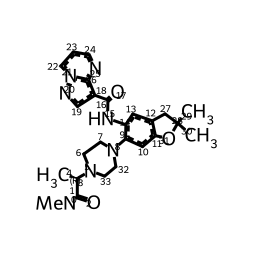 CNC(=O)[C@@H](C)N1CCN(c2cc3c(cc2NC(=O)c2cnn4cccnc24)CC(C)(C)O3)CC1